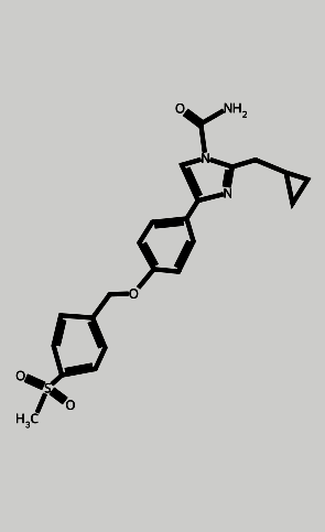 CS(=O)(=O)c1ccc(COc2ccc(-c3cn(C(N)=O)c(CC4CC4)n3)cc2)cc1